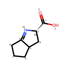 O=C(O)[C@@H]1CC2CCCC2=N1